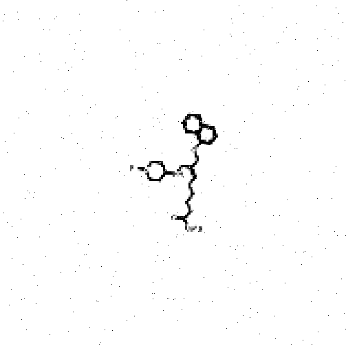 COC(=O)CCCCC=C(CNC1CCN(C(C)C)CC1)COc1cccc2ccccc12